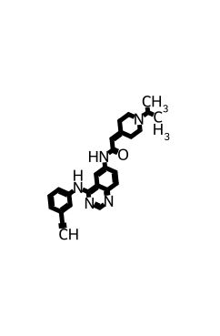 C#Cc1cccc(Nc2ncnc3ccc(NC(=O)C=C4CCN(C(C)C)CC4)cc23)c1